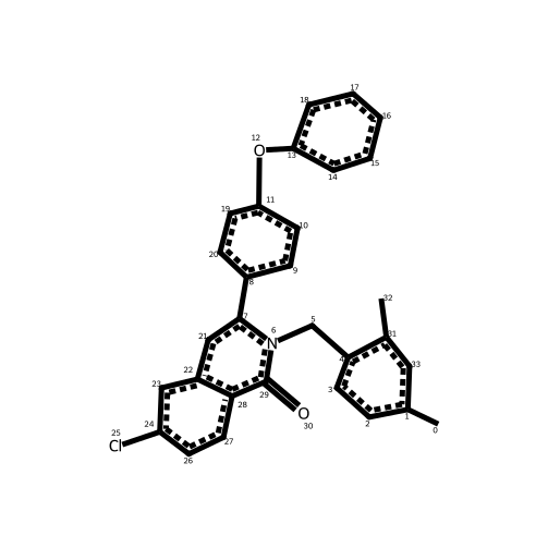 Cc1ccc(Cn2c(-c3ccc(Oc4ccccc4)cc3)cc3cc(Cl)ccc3c2=O)c(C)c1